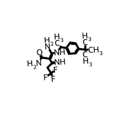 CC(N/C(N)=C(\C(=N)CC(F)(F)F)C(N)=O)c1ccc(C(C)(C)C)cc1